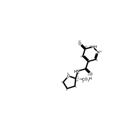 O=C(N[C@@]1(C(=O)O)CCCO1)c1cn[nH]c(=O)c1